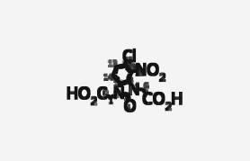 O=C(O)Cn1c(=O)n(CC(=O)O)c2c([N+](=O)[O-])c(Cl)ccc21